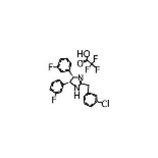 Fc1cccc([C@H]2N=C(Cc3cccc(Cl)c3)N[C@H]2c2cccc(F)c2)c1.O=C(O)C(F)(F)F